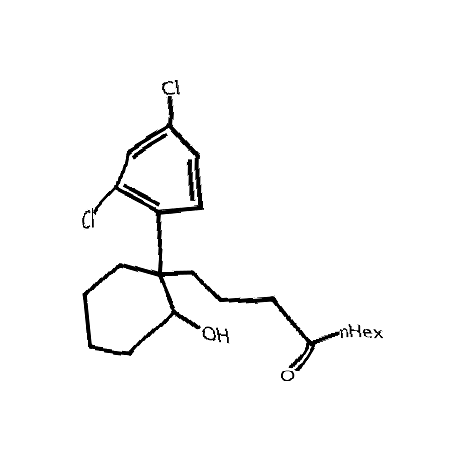 CCCCCCC(=O)CCCC1(c2ccc(Cl)cc2Cl)CCCCC1O